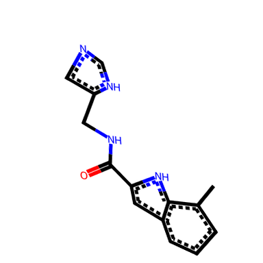 Cc1cccc2cc(C(=O)NCc3cnc[nH]3)[nH]c12